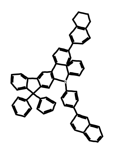 c1ccc(N(c2ccc(-c3ccc4ccccc4c3)cc2)c2cc3c(cc2-c2ccc(-c4ccc5c(c4)CCCC5)cc2)-c2ccccc2C3(c2ccccc2)c2ccccc2)cc1